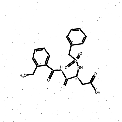 CCc1ccccc1C(=O)NC(=O)[C@H](CC(=O)O)NS(=O)(=O)Cc1ccccc1